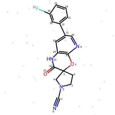 N#CN1CCC2(C1)Oc1ncc(-c3cccc(F)c3)cc1NC2=O